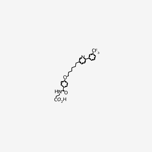 O=C(O)CCNC(=O)c1ccc(OCCCCCCc2ccc(-c3cccc(C(F)(F)F)c3)nc2)cc1